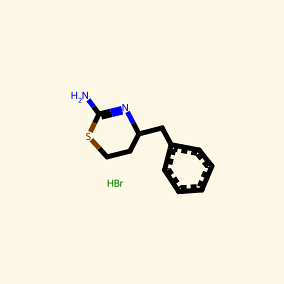 Br.NC1=NC(Cc2ccccc2)CCS1